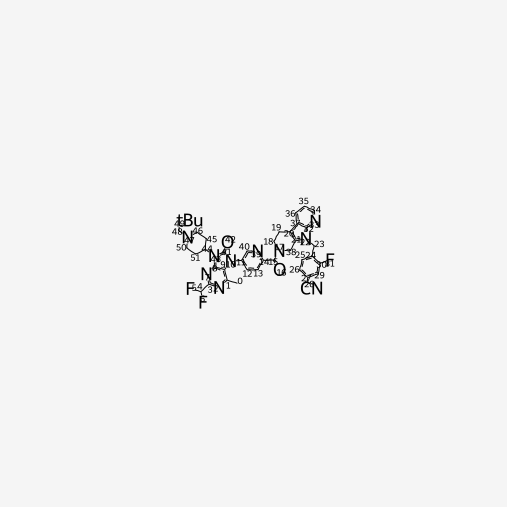 Cc1nc(C(F)F)nc2c1n(-c1ccc(C(=O)N3CCc4c(n(Cc5ccc(C#N)cc5F)c5ncccc45)C3)nc1)c(=O)n2C1CCN(CC(C)(C)C)CC1